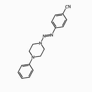 N#Cc1ccc(/N=N/N2CCN(c3ccccc3)CC2)cc1